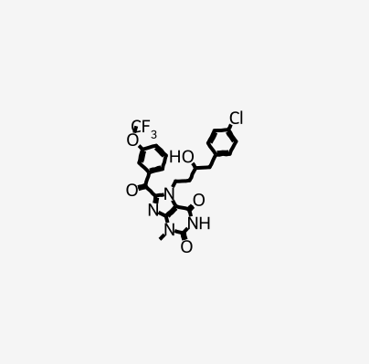 Cn1c(=O)[nH]c(=O)c2c1nc(C(=O)c1cccc(OC(F)(F)F)c1)n2CCC(O)Cc1ccc(Cl)cc1